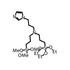 CCO[Si](CCCN(CCCn1ccnc1)CCC[Si](OC)(OC)OC)(OCC)OCC